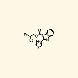 CCC(CC)COC(=O)n1c(-c2cscn2)nc2ccccc21